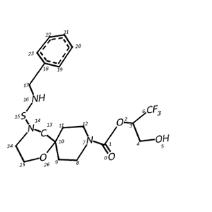 O=C(OC(CO)C(F)(F)F)N1CCC2(CC1)CN(SNCc1ccccc1)CCO2